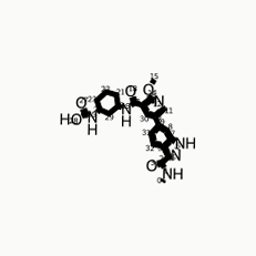 CNC(=O)c1n[nH]c2cc(-c3cnc(OC)c(C(=O)NC4CCCC(NC(=O)O)C4)c3)ccc12